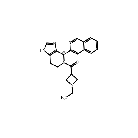 O=C(C1CN(CC(F)(F)F)C1)N1CCc2[nH]cnc2[C@H]1c1cc2ccccc2cn1